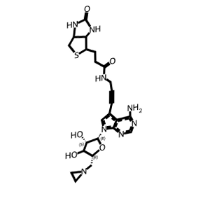 Nc1ncnc2c1c(C#CCNC(=O)CCC1SCC3NC(=O)NC31)cn2[C@@H]1O[C@H](CN2CC2)C(O)[C@@H]1O